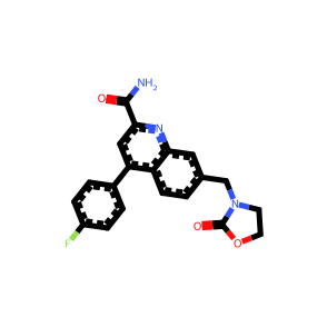 NC(=O)c1cc(-c2ccc(F)cc2)c2ccc(CN3CCOC3=O)cc2n1